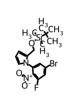 CC(C)(C)[Si](C)(C)OCc1cccn1-c1cc(Br)cc(F)c1[N+](=O)[O-]